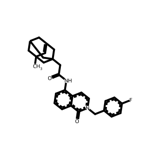 CC12C=C3CC(C1)CC(CC(=O)Nc1cccc4c(=O)n(Cc5ccc(F)cc5)ccc14)(C3)C2